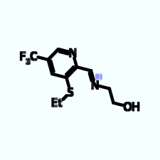 CCSc1cc(C(F)(F)F)cnc1/C=N/CCO